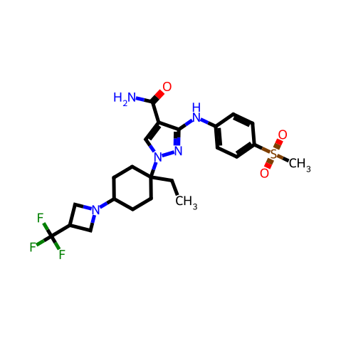 CCC1(n2cc(C(N)=O)c(Nc3ccc(S(C)(=O)=O)cc3)n2)CCC(N2CC(C(F)(F)F)C2)CC1